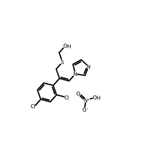 O=[N+]([O-])O.OCSCC(=Cn1ccnc1)c1ccc(Cl)cc1Cl